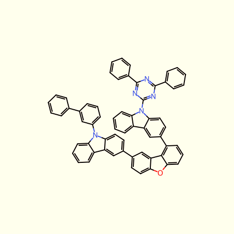 c1ccc(-c2cccc(-n3c4ccccc4c4cc(-c5ccc6oc7cccc(-c8ccc9c(c8)c8ccccc8n9-c8nc(-c9ccccc9)nc(-c9ccccc9)n8)c7c6c5)ccc43)c2)cc1